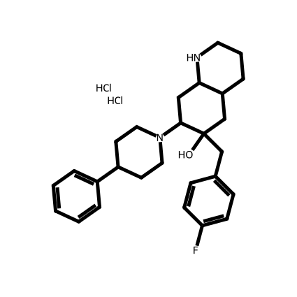 Cl.Cl.OC1(Cc2ccc(F)cc2)CC2CCCNC2CC1N1CCC(c2ccccc2)CC1